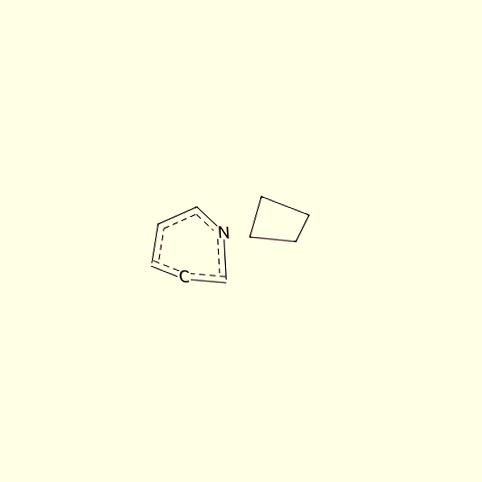 C1CCC1.c1ccncc1